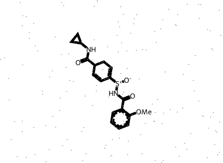 COc1ccccc1C(=O)N[S+]([O-])C1=CCC(C(=O)NC2CC2)C=C1